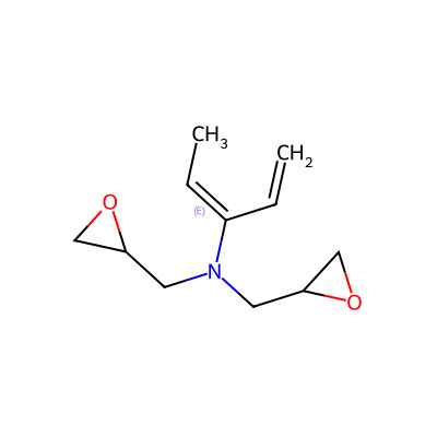 C=C/C(=C\C)N(CC1CO1)CC1CO1